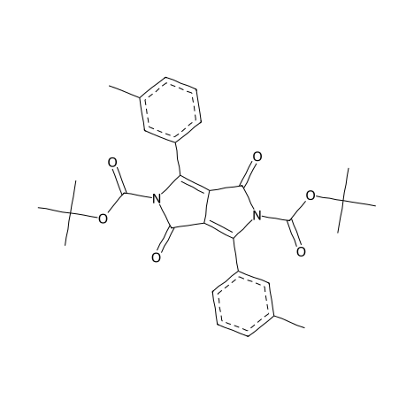 Cc1cccc(C2=C3C(=O)N(C(=O)OC(C)(C)C)C(c4cccc(C)c4)=C3C(=O)N2C(=O)OC(C)(C)C)c1